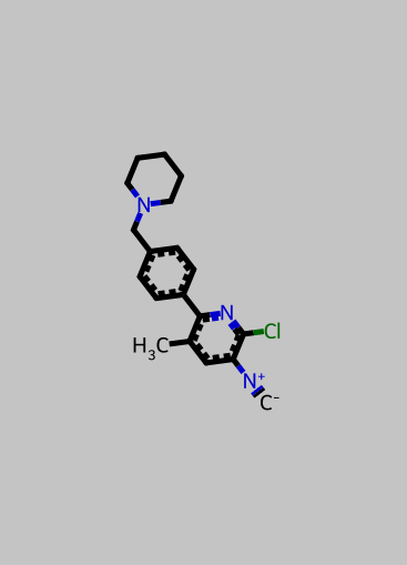 [C-]#[N+]c1cc(C)c(-c2ccc(CN3CCCCC3)cc2)nc1Cl